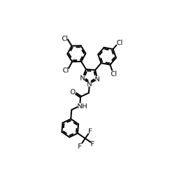 O=C(Cn1nc(-c2ccc(Cl)cc2Cl)c(-c2ccc(Cl)cc2Cl)n1)NCc1cccc(C(F)(F)F)c1